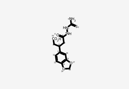 NC(=S)NNC(=O)CC(CC(=O)O)c1ccc2c(c1)OCO2